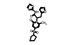 Cc1cc(S(=O)(=O)C2CCCC2)cc(=O)n1C(Cc1ccco1)C(=O)Nc1nccs1